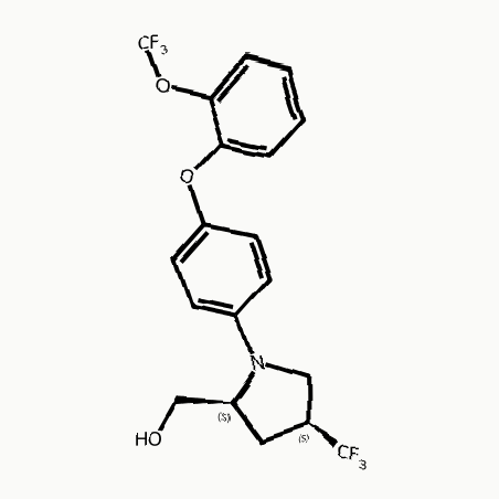 OC[C@@H]1C[C@H](C(F)(F)F)CN1c1ccc(Oc2ccccc2OC(F)(F)F)cc1